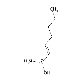 CCCCC=C[SiH](O)[SiH3]